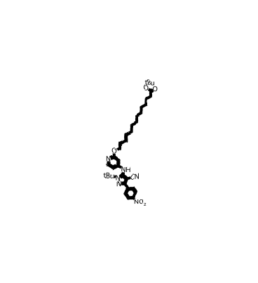 CC(C)(C)OC(=O)CCCCCCCCCCCCCOc1cc(Nc2c(C#N)c(-c3ccc([N+](=O)[O-])cc3)nn2C(C)(C)C)ccn1